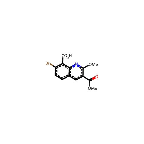 COC(=O)c1cc2ccc(Br)c(C(=O)O)c2nc1OC